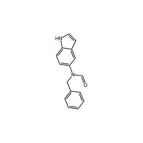 O=CN(Cc1ccccc1)c1ccc2[nH]ccc2c1